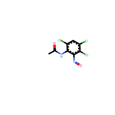 CC(=O)Nc1c(Cl)cc(Cl)c(Cl)c1N=O